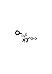 CC1(C)OCC(CC=O)N1C(=O)OCc1ccccc1